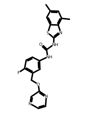 Cc1cc(C)c2nc(NC(=O)Nc3ccc(F)c(COc4cnccn4)c3)sc2c1